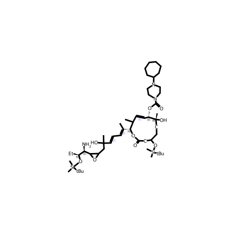 CC[C@H](O[Si](C)(C)C(C)(C)C)[C@@H](N)C1OC1CC(C)(O)/C=C/C=C(\C)[C@H]1OC(=O)CC(O[Si](C)(C)C(C)(C)C)CC[C@@](C)(O)[C@@H](OC(=O)N2CCN(C3CCCCCC3)CC2)/C=C/C1C